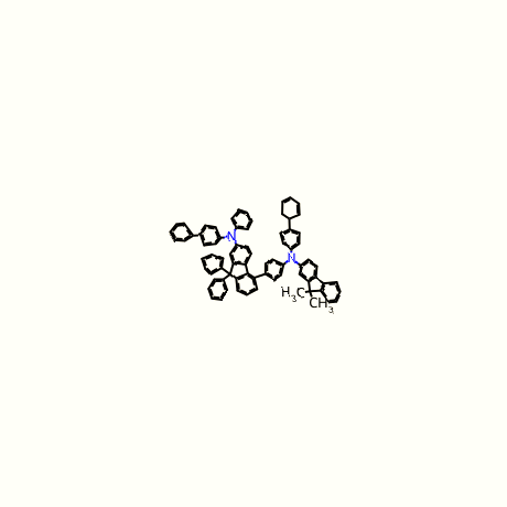 CC1(C)c2ccccc2-c2ccc(N(c3ccc(-c4cccc5c4-c4ccc(N(c6ccccc6)c6ccc(-c7ccccc7)cc6)cc4C5(c4ccccc4)c4ccccc4)cc3)c3ccc(C4C=CC=CC4)cc3)cc21